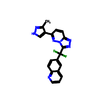 Cc1n[nH]cc1-c1ccc2nnc(C(F)(F)c3ccc4ncccc4c3)n2n1